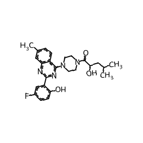 Cc1ccc2c(N3CCN(C(=O)C(O)CC(C)C)CC3)nc(-c3cc(F)ccc3O)nc2c1